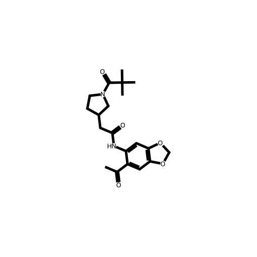 CC(=O)c1cc2c(cc1NC(=O)CC1CCN(C(=O)C(C)(C)C)C1)OCO2